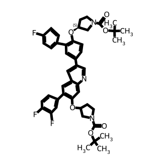 CC(C)(C)OC(=O)N1CCC(Oc2cc3ncc(-c4ccc(O[C@H]5CCN(C(=O)OC(C)(C)C)C5)c(-c5ccc(F)cc5)c4)cc3cc2-c2ccc(F)c(F)c2)C1